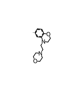 [c]1ccc2c(c1)N(CCN1CCOCC1)CCO2